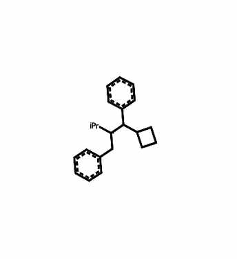 CC(C)[C](Cc1ccccc1)C(c1ccccc1)C1CCC1